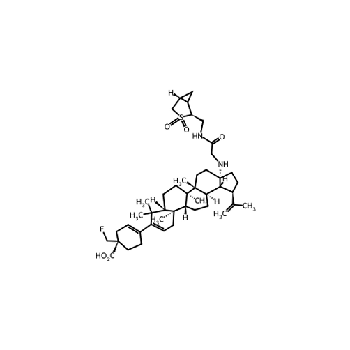 C=C(C)[C@@H]1CC[C@]2(NCC(=O)NC[C@@H]3C4C[C@H]4CS3(=O)=O)CC[C@]3(C)[C@H](CC[C@@H]4[C@@]5(C)CC=C(C6=CC[C@](CF)(C(=O)O)CC6)C(C)(C)[C@@H]5CC[C@]43C)[C@@H]12